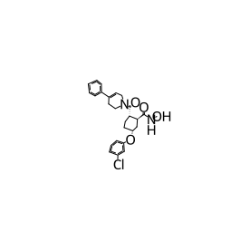 O=C(NO)[C@H]1C[C@H](Oc2cccc(Cl)c2)CC[C@@H]1C(=O)N1CC=C(c2ccccc2)CC1